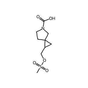 CS(=O)(=O)OCC1CC12CCN(C(=O)O)C2